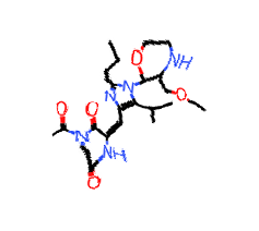 CCCc1nc(C=C2NC(=O)CN(C(C)=O)C2=O)c(C(C)C)n1C1OCCNC1COCC